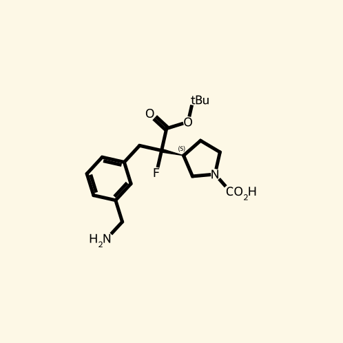 CC(C)(C)OC(=O)C(F)(Cc1cccc(CN)c1)[C@H]1CCN(C(=O)O)C1